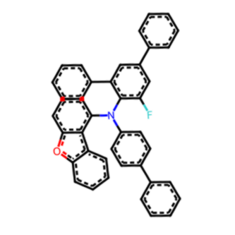 Fc1cc(-c2ccccc2)cc(-c2ccccc2)c1N(c1ccc(-c2ccccc2)cc1)c1cccc2oc3ccccc3c12